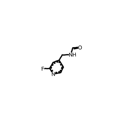 O=CNCc1ccnc(F)c1